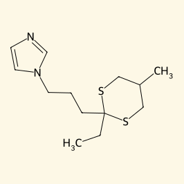 CCC1(CCCn2ccnc2)SCC(C)CS1